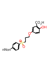 CCCCCCCCCc1ccc(S(=O)(=O)CCCOc2ccc(O)c(C(=O)O)c2)cc1